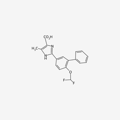 Cc1[nH]c(-c2ccc(OC(F)F)c(-c3ccccc3)c2)nc1C(=O)O